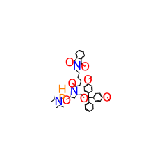 COc1ccc(C(OC[C@@H]2C[C@@H](OPN(C(C)C)C(C)C)CN2C(=O)CCCCCN2C(=O)c3ccccc3C2=O)(c2ccccc2)c2ccc(OC)cc2)cc1